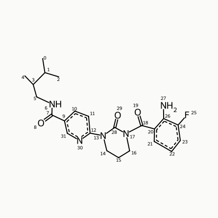 CC(C)C(C)CNC(=O)c1ccc(N2CCCN(C(=O)c3cccc(F)c3N)C2=O)nc1